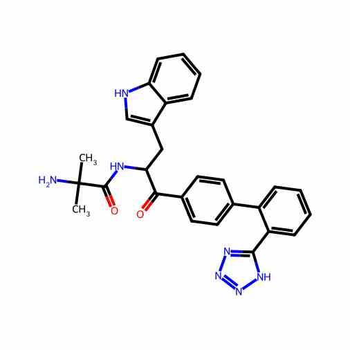 CC(C)(N)C(=O)NC(Cc1c[nH]c2ccccc12)C(=O)c1ccc(-c2ccccc2-c2nnn[nH]2)cc1